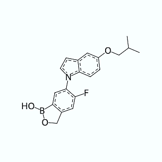 CC(C)COc1ccc2c(ccn2-c2cc3c(cc2F)COB3O)c1